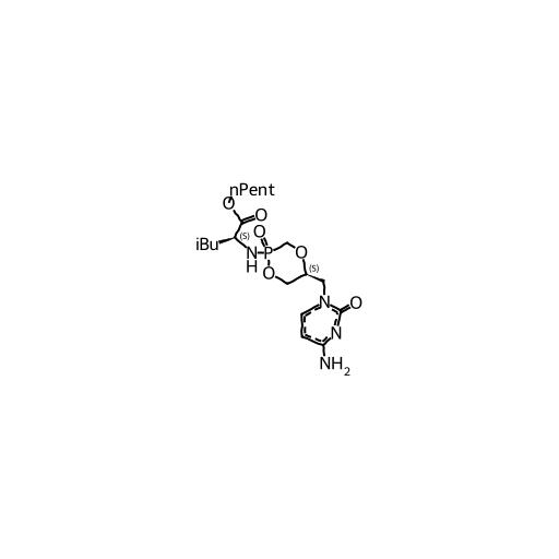 CCCCCOC(=O)[C@@H](NP1(=O)CO[C@@H](Cn2ccc(N)nc2=O)CO1)C(C)CC